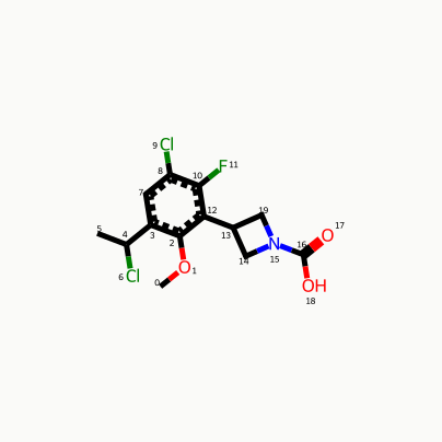 COc1c(C(C)Cl)cc(Cl)c(F)c1C1CN(C(=O)O)C1